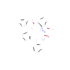 Cc1cccc(C(C)C)c1CNC(=O)n1c(=O)c2cccc(C(=O)OC(c3ccccc3)c3ccccc3)c2n1C